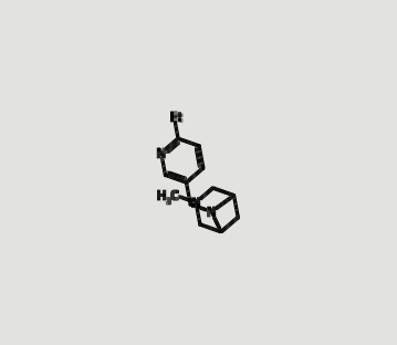 CCc1ccc(CN2C3CC2CN(C)C3)cn1